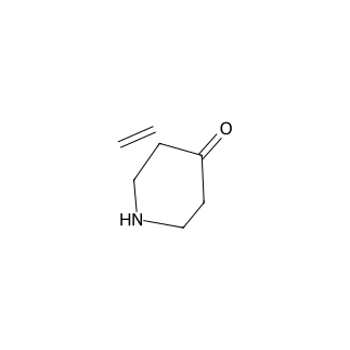 C=C.O=C1CCNCC1